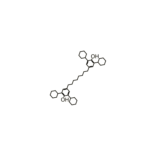 Oc1c(C2CCCCC2)cc(CCCCCCCCc2cc(C3CCCCC3)c(O)c(C3CCCCC3)c2)cc1C1CCCCC1